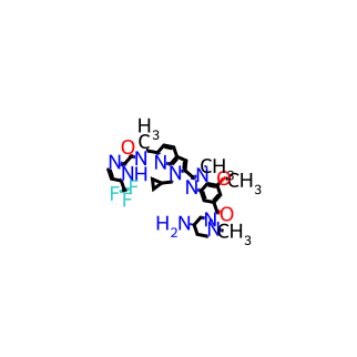 COc1cc(C(=O)N2C[C@H](N)CCN2C)cc2nc(-c3cc4ccc([C@@H](C)NC(=O)c5nccc(C(F)(F)F)n5)nc4n3CC3CC3)n(C)c12